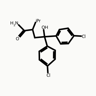 CC(C)C(CC(O)(c1ccc(Cl)cc1)c1ccc(Cl)cc1)C(N)=O